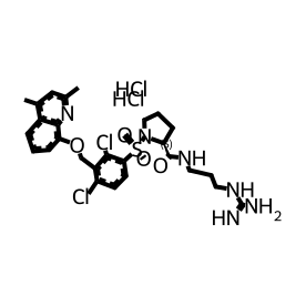 Cc1cc(C)c2cccc(OCc3c(Cl)ccc(S(=O)(=O)N4CCC[C@H]4C(=O)NCCCNC(=N)N)c3Cl)c2n1.Cl.Cl